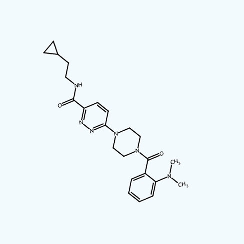 CN(C)c1ccccc1C(=O)N1CCN(c2ccc(C(=O)NCCC3CC3)nn2)CC1